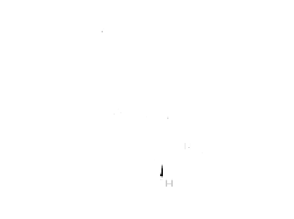 Cc1cccc(S(=O)(=O)C[C@H](C)N)c1